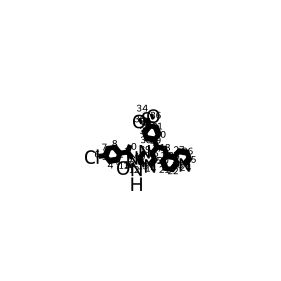 CC(c1ccc(Cl)cc1)n1c(=O)[nH]c2ncc(C(Cc3cccc4ncccc34)c3ccc(S(C)(=O)=O)cc3)nc21